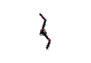 CCCCCCCC/C=C\CCCCCCCCCC(=O)O[C@@H](CO)COC(=O)CCCCCCC/C=C\CCCCCCCC